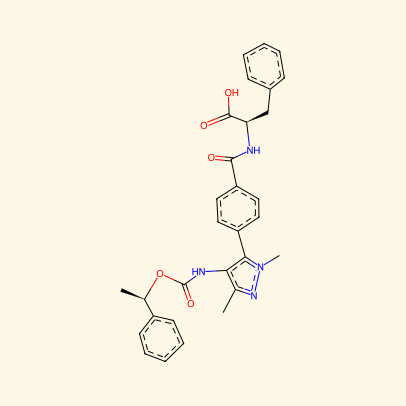 Cc1nn(C)c(-c2ccc(C(=O)N[C@H](Cc3ccccc3)C(=O)O)cc2)c1NC(=O)O[C@H](C)c1ccccc1